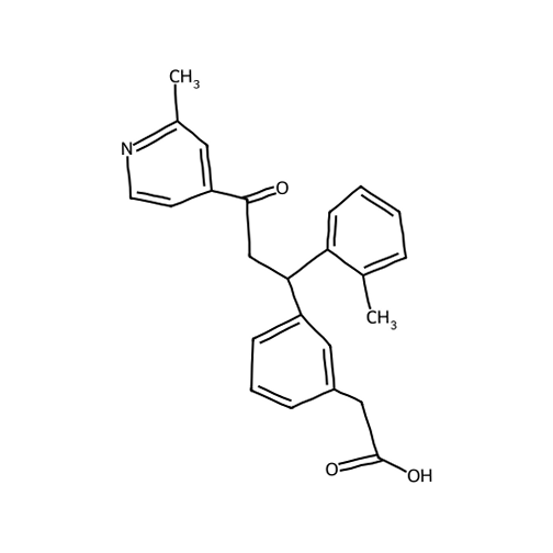 Cc1cc(C(=O)CC(c2cccc(CC(=O)O)c2)c2ccccc2C)ccn1